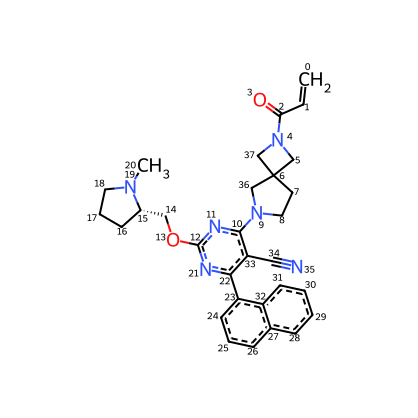 C=CC(=O)N1CC2(CCN(c3nc(OC[C@@H]4CCCN4C)nc(-c4cccc5ccccc45)c3C#N)C2)C1